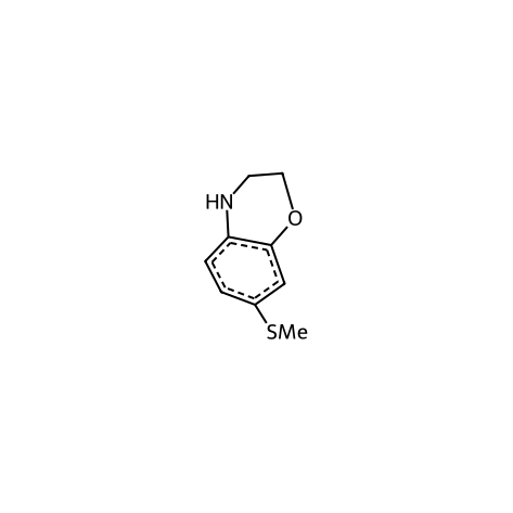 CSc1ccc2c(c1)OCCN2